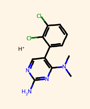 CN(C)c1nc(N)ncc1-c1cccc(Cl)c1Cl.[H+]